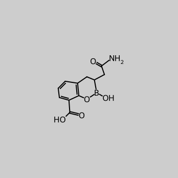 NC(=O)CC1Cc2cccc(C(=O)O)c2OB1O